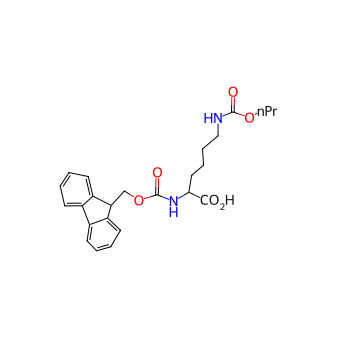 CCCOC(=O)NCCCCC(NC(=O)OCC1c2ccccc2-c2ccccc21)C(=O)O